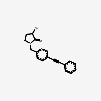 CC1CCN(Cc2ccc(C#Cc3ccccc3)cn2)C1=O